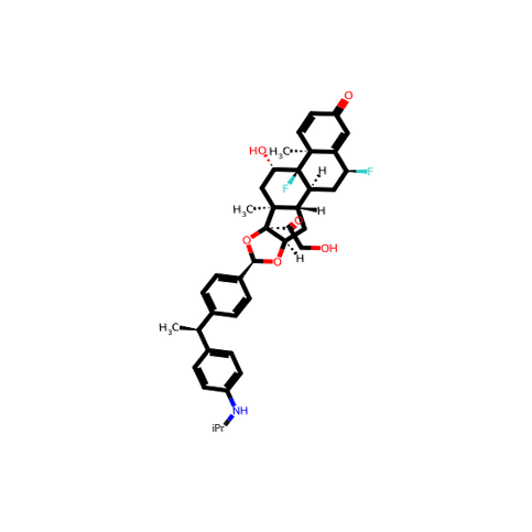 CC(C)Nc1ccc([C@@H](C)c2ccc([C@@H]3O[C@@H]4C[C@H]5[C@@H]6C[C@H](F)C7=CC(=O)C=C[C@]7(C)[C@@]6(F)[C@@H](O)C[C@]5(C)[C@]4(C(=O)CO)O3)cc2)cc1